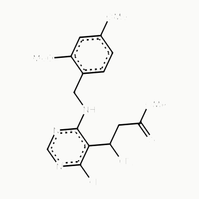 COC(=O)CC(c1c(Cl)ncnc1NCc1ccc(OC)cc1OC)C(F)(F)F